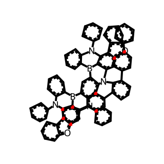 c1ccc(-c2ccc(-c3cccc(-c4ccc(-c5ccccc5)cc4)c3N3c4cc5c(cc4B4c6ccccc6N(c6ccccc6)c6c4c3cc3oc4ccccc4c63)B3c4ccccc4N(c4ccccc4)c4c3c(cc3oc6ccccc6c43)N5c3ccccc3)cc2)cc1